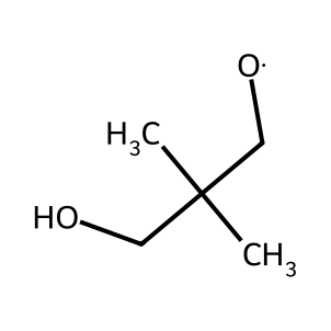 CC(C)(C[O])CO